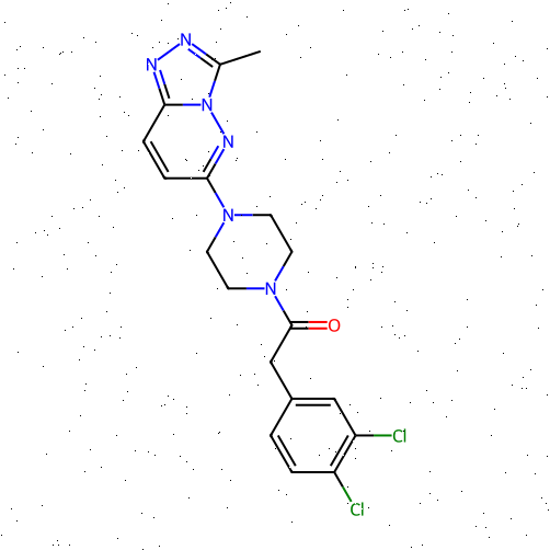 Cc1nnc2ccc(N3CCN(C(=O)Cc4ccc(Cl)c(Cl)c4)CC3)nn12